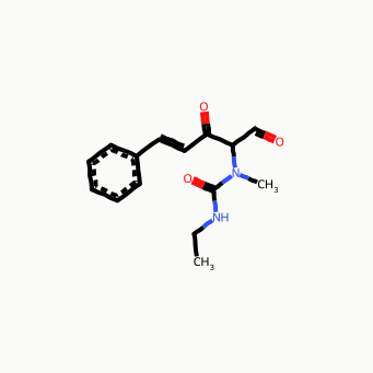 CCNC(=O)N(C)C([C]=O)C(=O)C=Cc1ccccc1